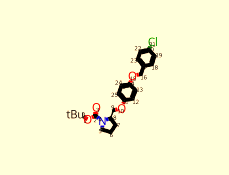 CC(C)(C)OC(=O)N1CCC[C@@H]1COc1ccc(OCc2ccc(Cl)cc2)cc1